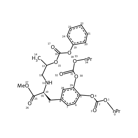 CCCOC(=O)Oc1ccc(C[C@H](NCC(C)OC(=O)Oc2ccccc2)C(=O)OC)cc1OC(=O)OCCC